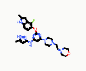 Cc1cc(Nc2cc(N3CCN(CCN4CCOCC4)CC3)nc(Oc3ccc4[nH]c(C)cc4c3F)n2)n[nH]1